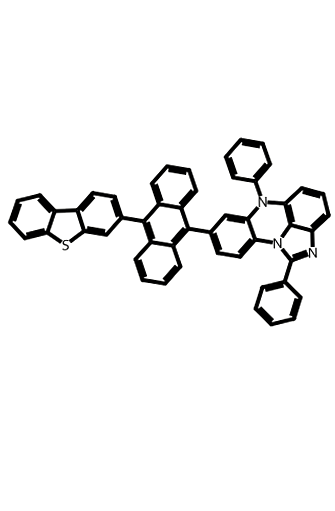 c1ccc(-c2nc3cccc4c3n2-c2ccc(-c3c5ccccc5c(-c5ccc6c(c5)sc5ccccc56)c5ccccc35)cc2N4c2ccccc2)cc1